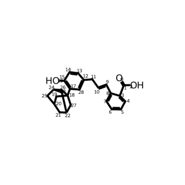 O=C(O)c1ccccc1C=CCc1ccc(O)c(C23CC4CC(CC(C4)C2)C3)c1